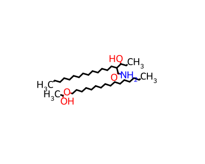 CCCCCCCCCCCCCCC(C(N)=O)C(O)CC.CCCCCCCCCCCCCCCCOC(C)O